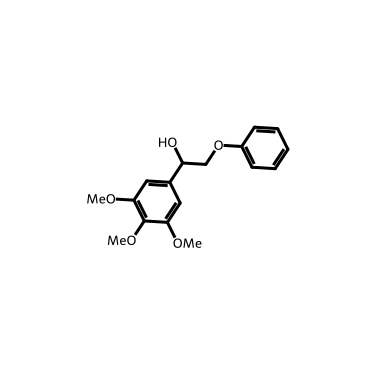 COc1cc(C(O)COc2ccccc2)cc(OC)c1OC